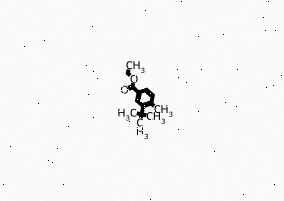 CCOC(=O)c1ccc(C)c(C(C)(C)C)c1